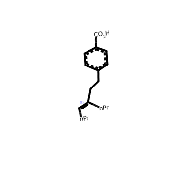 CCC/C=C(\CCC)CCc1ccc(C(=O)O)cc1